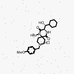 CCCCN1C(=O)[C@@H]([C@H](O)C2CCCCC2)NC(=O)C12CCN(Cc1ccc(OC)cc1)CC2.Cl